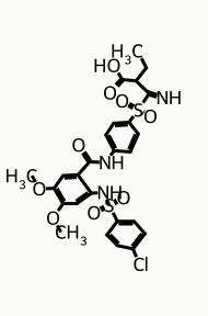 CCC(C(=N)S(=O)(=O)c1ccc(NC(=O)c2cc(OC)c(OC)cc2NS(=O)(=O)c2ccc(Cl)cc2)cc1)C(=O)O